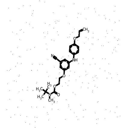 C=CCOc1ccc(Nc2cc(C#N)cc(OCCOC(=O)N(C)C(C)(C)C)c2)cc1